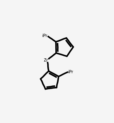 CC(C)C1=[C]([Zr][C]2=C(C(C)C)C=CC2)CC=C1